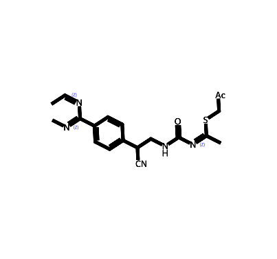 C/C=N\C(=N/C)c1ccc(C(C#N)CNC(=O)/N=C(/C)SCC(C)=O)cc1